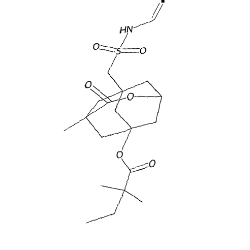 CCC(C)(C)C(=O)OC12CC3CC(CS(=O)(=O)NC=O)(C1)CC(C)(C2)C(=O)O3